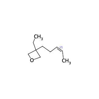 C/C=C\CCC1(CC)COC1